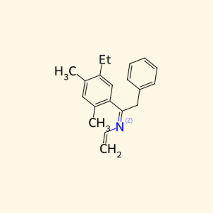 C=C/N=C(/Cc1ccccc1)c1cc(CC)c(C)cc1C